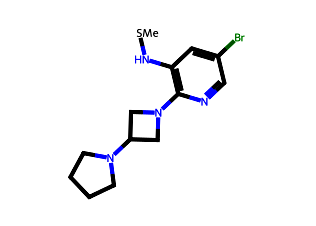 CSNc1cc(Br)cnc1N1CC(N2CCCC2)C1